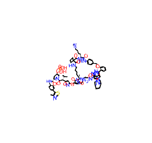 Cc1ncsc1-c1ccc([C@H](C)NC(=O)[C@@H]2C[C@@H](OP(=O)(O)O)CN2C(=O)[C@@H](c2cc(OCCN3CCN(CCOc4cc(N5C6CCC5CN(c5cc(-c7ccccc7OCc7ccc(NC(=O)[C@H](CCCCN(C)C)NC(=O)C8(C(=O)NCCCCCN9C(=O)C=CC9=O)CCC8)cc7)nnc5N)C6)ccn4)[C@H](C)C3)no2)C(C)C)cc1